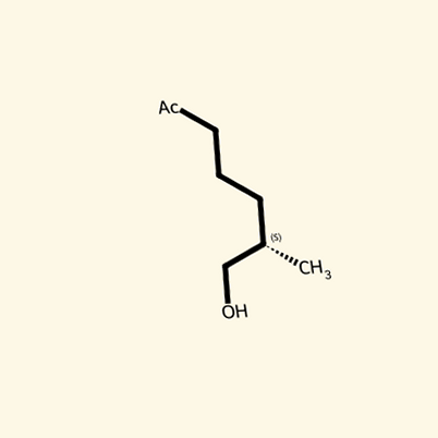 CC(=O)CCC[C@H](C)CO